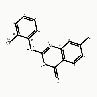 Cc1ccc2c(=O)oc(Nc3ccccc3Cl)nc2c1